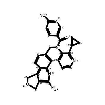 N#Cc1ccc(C(=O)N(Cc2ccc3c4c(c(N)nc3c2)COC4)c2cccnc2C2CC2)cn1